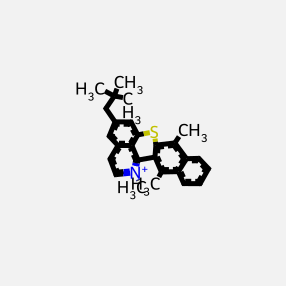 Cc1c2c(c(C)c3ccccc13)-c1c3c(cc(CC(C)(C)C)cc3cc[n+]1C)S2